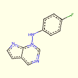 Fc1ccc(Nn2cncc3ccnc2-3)cc1